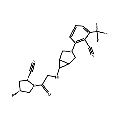 N#Cc1c(N2CC3C(C2)C3NCC(=O)N2C[C@@H](F)C[C@H]2C#N)cccc1C(F)(F)F